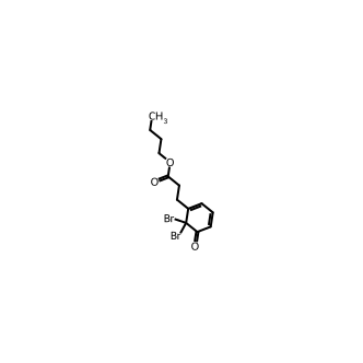 CCCCOC(=O)CCC1=CC=CC(=O)C1(Br)Br